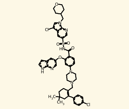 CC1(C)CCC(CN2CCN(c3ccc(C(=O)NS(=O)(=O)c4cnc5c(c4)c(Cl)cn5CC4CCOCC4)c(Oc4cnc5[nH]ccc5c4)c3)CC2)=C(c2ccc(Cl)cc2)C1